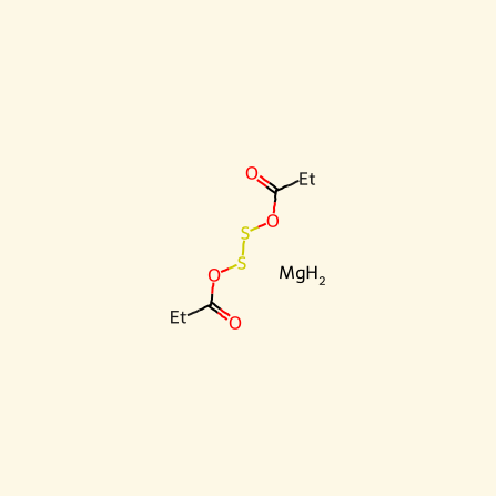 CCC(=O)OSSOC(=O)CC.[MgH2]